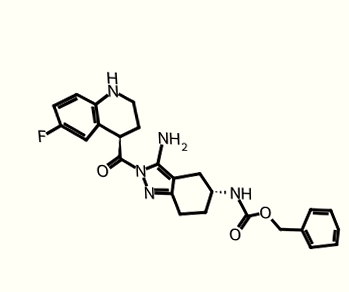 Nc1c2c(nn1C(=O)[C@@H]1CCNc3ccc(F)cc31)CC[C@@H](NC(=O)OCc1ccccc1)C2